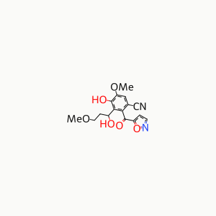 COCCC(O)c1c(O)c(OC)cc(C#N)c1C(=O)c1ccno1